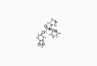 O=C(COc1ccc2c(c1)OCO2)N(c1ccccn1)C1CCSC1